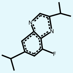 CC(C)c1cc(F)c2nc(C(C)C)cnc2c1